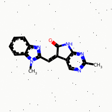 Cc1ncc2c(n1)NC(=O)C2=Cc1nc2ccccc2n1C